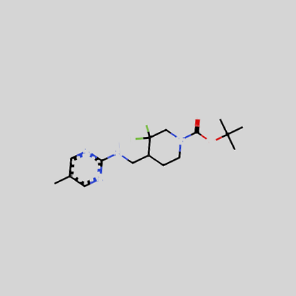 Cc1cnc(NCC2CCN(C(=O)OC(C)(C)C)CC2(F)F)nc1